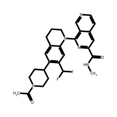 CNC(=O)c1cc2ccncc2c(N2CCCc3cc(C4CCN(C(C)=O)CC4)c(C(F)F)cc32)n1